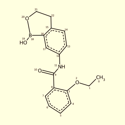 CCOc1ccccc1C(=O)Nc1ccc2c(c1)B(O)OCC2